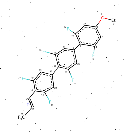 CCOc1cc(F)c(-c2cc(F)c(-c3cc(F)c(/C=C/C(F)(F)F)c(F)c3)c(F)c2)c(F)c1